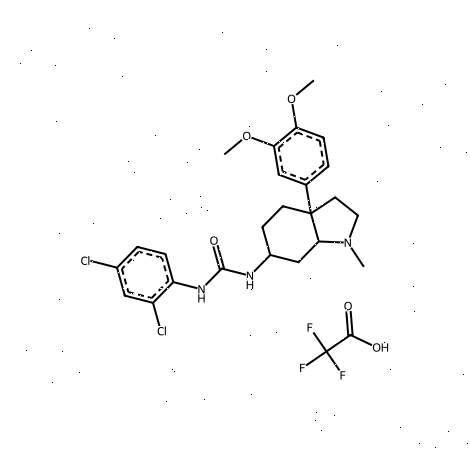 COc1ccc(C23CCC(NC(=O)Nc4ccc(Cl)cc4Cl)CC2N(C)CC3)cc1OC.O=C(O)C(F)(F)F